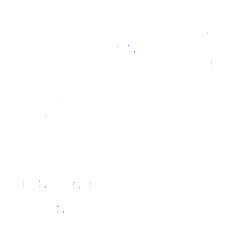 N=C(N)Nc1ccc2c(c1)CCCCc1c(cccc1C(=O)NC(CC(=O)O)CC(=O)O)OC2=O